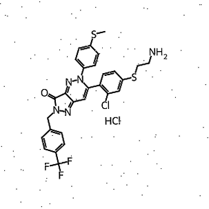 CSc1ccc(-n2nc3c(=O)n(Cc4ccc(C(F)(F)F)cc4)nc-3cc2-c2ccc(SCCN)cc2Cl)cc1.Cl